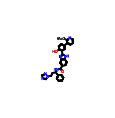 COc1ncccc1-c1ccc(O)c(-c2nc3cc(C(=O)NC(CCn4cncn4)c4ccccc4)ccc3[nH]2)c1